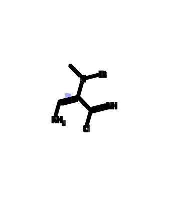 CCN(C)/C(=C/N)C(=N)Cl